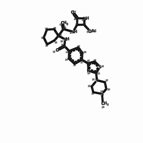 C=C(NC1C(=O)NC1OC(C)=O)C1(NC(=O)c2ccc(-c3csc(N4CCN(C)CC4)n3)cc2)CCCCC1